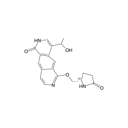 CC(O)c1c[nH]c(=O)c2cc3ccnc(OC[C@@H]4CCC(=O)N4)c3cc12